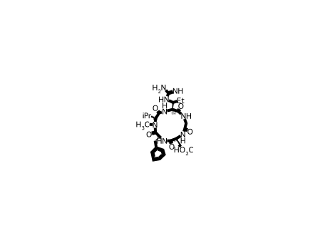 CCC(NC(=N)N)[C@@H]1NC(=O)[C@H](C(C)C)N(C)C(=O)[C@@H](Cc2ccccc2)NC(=O)[C@H](CC(=O)O)NC(=O)CNC1=O